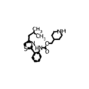 CC(C)Cc1csc(-c2ccccc2NC(=O)OCC2CCNCC2)n1